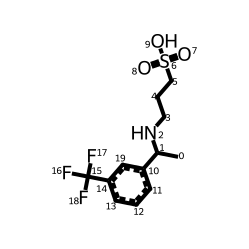 CC(NCCCS(=O)(=O)O)c1cccc(C(F)(F)F)c1